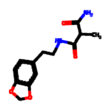 C[C](C(N)=O)C(=O)NCCc1ccc2c(c1)OCO2